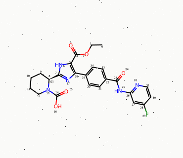 CCOC(=O)c1[nH]c([C@@H]2CCCCN2C(=O)O)nc1-c1ccc(C(=O)Nc2cc(F)ccn2)cc1